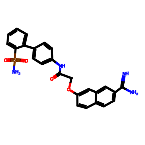 N=C(N)c1ccc2ccc(OCC(=O)Nc3ccc(-c4ccccc4S(N)(=O)=O)cc3)cc2c1